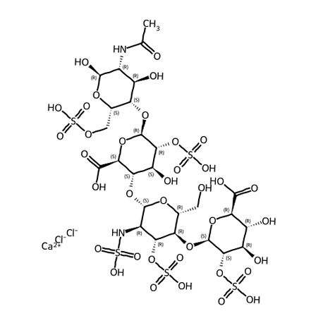 CC(=O)N[C@@H]1[C@@H](O)[C@H](O[C@@H]2O[C@H](C(=O)O)[C@@H](O[C@@H]3O[C@H](CO)[C@@H](O[C@H]4O[C@@H](C(=O)O)[C@H](O)[C@@H](O)[C@@H]4OS(=O)(=O)O)[C@H](OS(=O)(=O)O)[C@H]3NS(=O)(=O)O)[C@H](O)[C@H]2OS(=O)(=O)O)[C@H](COS(=O)(=O)O)O[C@H]1O.[Ca+2].[Cl-].[Cl-]